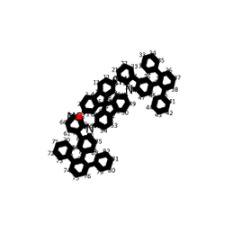 N#Cc1ccc2c(c1)C1(c3cc(C#N)ccc3-2)c2cc(-n3c4ccccc4c4cc(-c5c(-c6ccccc6)cccc5-c5ccccc5)ccc43)ccc2-c2ccc(-n3c4ccccc4c4cc(-c5c(-c6ccccc6)cccc5-c5ccccc5)ccc43)cc21